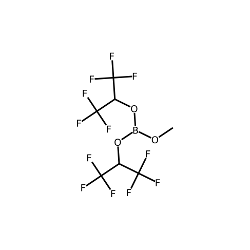 COB(OC(C(F)(F)F)C(F)(F)F)OC(C(F)(F)F)C(F)(F)F